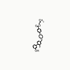 C=CCOC(=O)c1ccc(N2CCN(Cc3ccc(-c4cccc(O)c4)c(F)c3)CC2)cc1